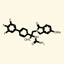 COc1ccc2c(c1)CN(CC(C=O)(NC(N)=O)C1C=CC(c3cc(F)c(F)c(F)c3)=CC1)C2=O